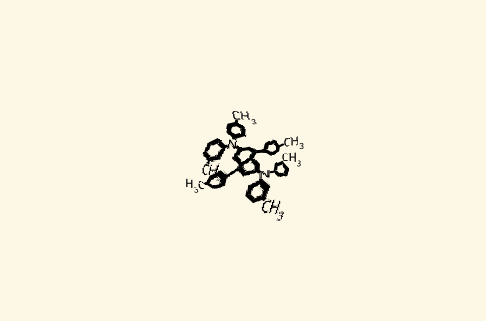 Cc1ccc(-c2cc(N(c3cccc(C)c3)c3cccc(C)c3)cc3c(-c4ccc(C)cc4)cc(N(c4ccc(C)cc4)c4cccc(C)c4)cc23)cc1